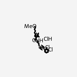 COCCCCc1cc(C(=O)NCCCN2CCN(c3cccc(Cl)c3Cl)CC2)c(C)n1C.Cl